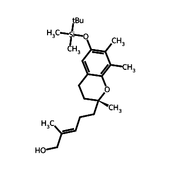 C/C(=C\CC[C@]1(C)CCc2cc(O[Si](C)(C)C(C)(C)C)c(C)c(C)c2O1)CO